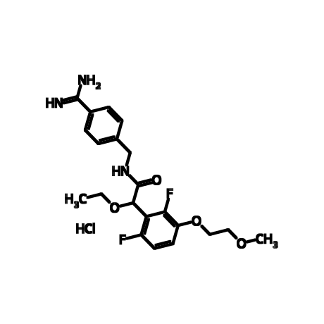 CCOC(C(=O)NCc1ccc(C(=N)N)cc1)c1c(F)ccc(OCCOC)c1F.Cl